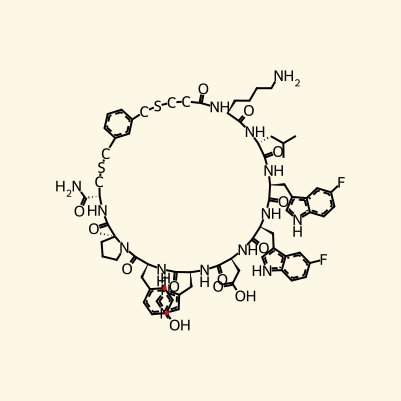 CC(C)C[C@H]1NC(=O)[C@H](CCCCN)NC(=O)CCSCc2cccc(c2)CSC[C@@H](C(N)=O)NC(=O)[C@]2(C)CCCN2C(=O)[C@H](Cc2ccc(O)cc2)NC(=O)[C@H](Cc2cnc[nH]2)NC(=O)[C@H](CC(=O)O)NC(=O)[C@H](Cc2c[nH]c3ccc(F)cc23)NC(=O)[C@H](Cc2c[nH]c3ccc(F)cc23)NC1=O